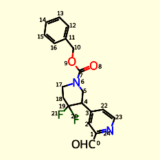 O=Cc1cc(C2CN(C(=O)OCc3ccccc3)CCC2(F)F)ccn1